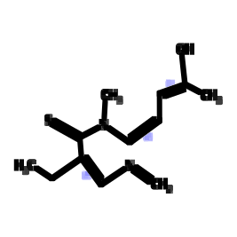 C=N/C=C(/CC)C(=S)N(C)/C=C\C=C(/C)O